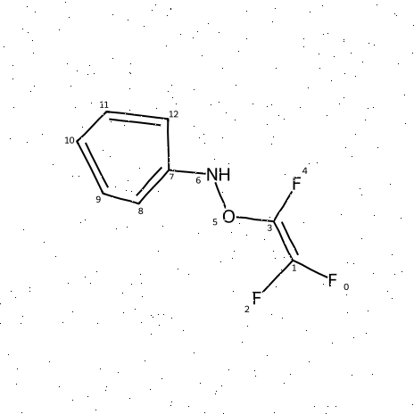 FC(F)=C(F)ONc1ccccc1